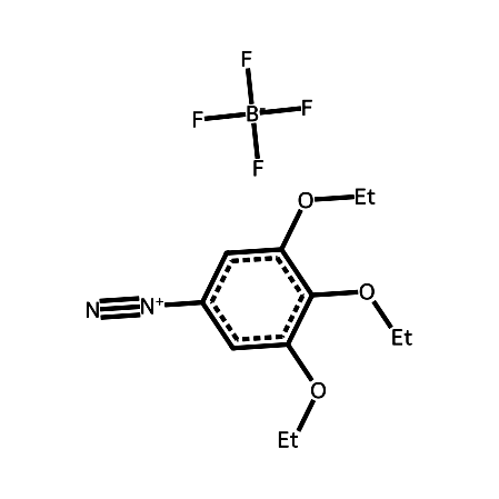 CCOc1cc([N+]#N)cc(OCC)c1OCC.F[B-](F)(F)F